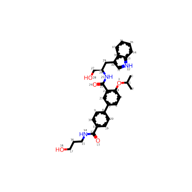 CC(C)Oc1ccc(-c2ccc(C(=O)NCCCO)cc2)cc1C(=O)N[C@@H](CO)Cc1c[nH]c2ccccc12